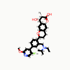 CCN(Cc1cc(-c2cc(OC)ncc2F)ccc1C1CCc2ccc([C@H](O)[C@H](C)C(=O)O)cc2O1)C(C)C